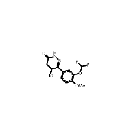 CCC1CC(=O)NN=C1c1ccc(OC)c(OC(F)F)c1